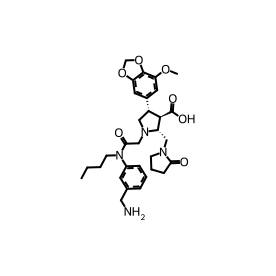 CCCCN(C(=O)CN1C[C@H](c2cc(OC)c3c(c2)OCO3)[C@@H](C(=O)O)[C@@H]1CN1CCCC1=O)c1cccc(CN)c1